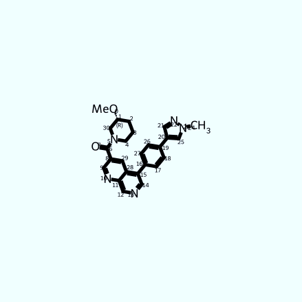 CO[C@@H]1CCCN(C(=O)c2cnc3cncc(-c4ccc(-c5cnn(C)c5)cc4)c3c2)C1